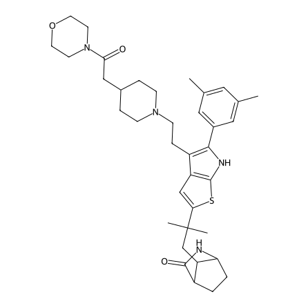 Cc1cc(C)cc(-c2[nH]c3sc(C(C)(C)CC4C5CCC4C(=O)N5)cc3c2CCN2CCC(CC(=O)N3CCOCC3)CC2)c1